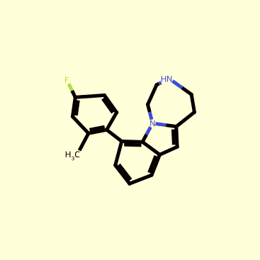 Cc1cc(F)ccc1-c1cccc2cc3n(c12)CCNCC3